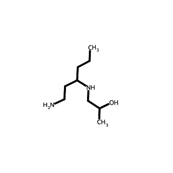 CCCC(CCN)NCC(C)O